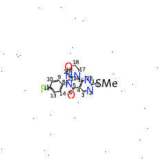 CSc1ncc(C(=O)Nc2ccc(F)cc2)c(N2CCOCC2)n1